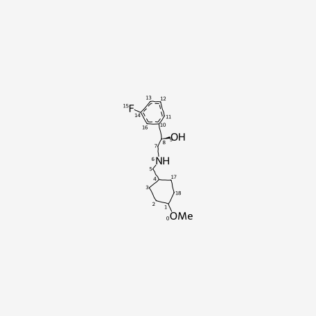 COC1CCC(CNC[C@H](O)c2cccc(F)c2)CC1